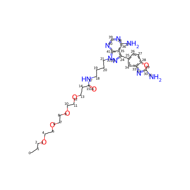 CCCOCCOCCOCCOCCC(=O)NCCCCn1nc(-c2ccc3oc(N)nc3c2)c2c(N)ncnc21